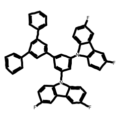 Fc1ccc2c(c1)c1cc(F)ccc1n2-c1cc(-c2cc(-c3ccccc3)cc(-c3ccccc3)c2)cc(-n2c3ccc(F)cc3c3cc(F)ccc32)c1